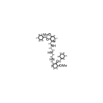 COc1ccnc(CNCCNCCNCc2nccc(OC)c2OCc2ccccc2)c1OCc1ccccc1